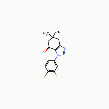 CC1(C)CC(=O)c2c(ncn2-c2ccc(Cl)c(F)c2)C1